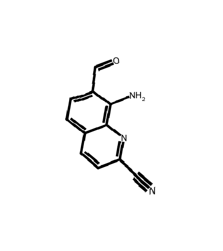 N#Cc1ccc2ccc(C=O)c(N)c2n1